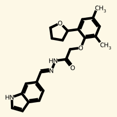 Cc1cc(C)c(OCC(=O)NN=Cc2ccc3cc[nH]c3c2)c(C2CCCO2)c1